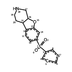 O=S(=O)(c1cccnc1)c1ccc2c(c1)OC1CNCCC21